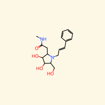 CNC(=O)CC1C(O)C(O)C(CO)N1C/C=C/c1ccccc1